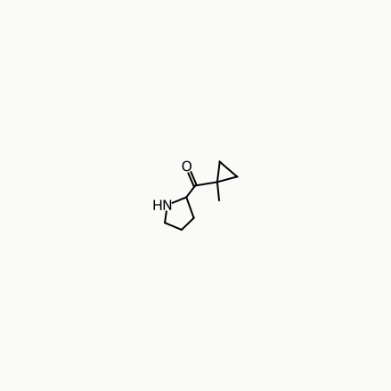 CC1(C(=O)C2CCCN2)CC1